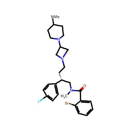 CNC1CCN(C2CN(CC[C@H](CN(C)C(=O)c3ccccc3Br)c3ccc(F)cc3)C2)CC1